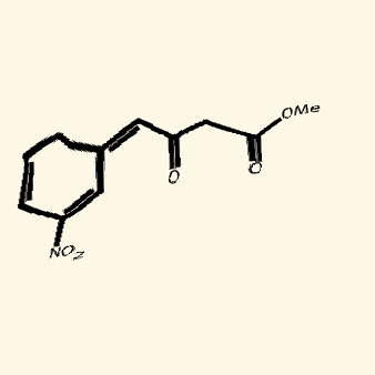 COC(=O)CC(=O)C=C1C=C([N+](=O)[O-])C=CC1